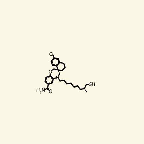 C[C@H](CS)C/C=C/CCCCN1C[C@@]2(CCCc3cc(Cl)ccc32)COc2ccc(C(N)=O)cc21